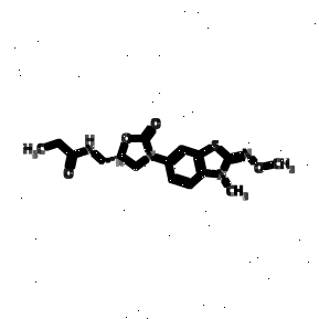 CCC(=O)NC[C@H]1CN(c2ccc3c(c2)sc(=NOC)n3C)C(=O)O1